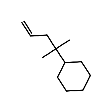 C=CCC(C)(C)C1CCCCC1